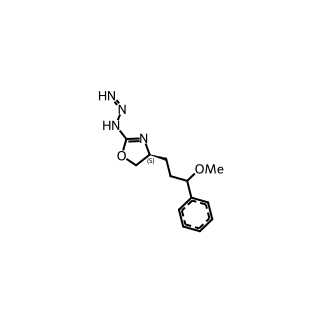 COC(CC[C@H]1COC(NN=N)=N1)c1ccccc1